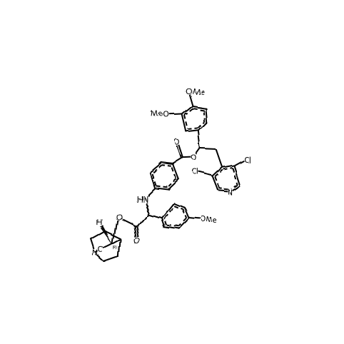 COc1ccc(C(Nc2ccc(C(=O)OC(Cc3c(Cl)cncc3Cl)c3ccc(OC)c(OC)c3)cc2)C(=O)O[C@H]2CN3CCC2CC3)cc1